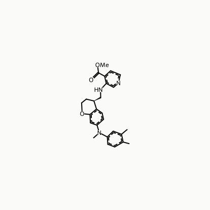 COC(=O)c1ccncc1NC[C@@H]1CCOc2cc(N(C)c3ccc(C)c(C)c3)ccc21